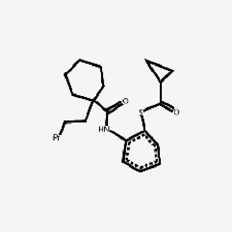 CC(C)CCC1(C(=O)Nc2ccccc2SC(=O)C2CC2)CCCCC1